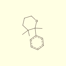 CC1(C)CCCOC1(C)c1ccccc1